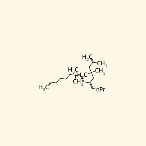 C=CCCCCC(C)(C)C=CC(=CCCC)CC(C)(C)CC(=C)C